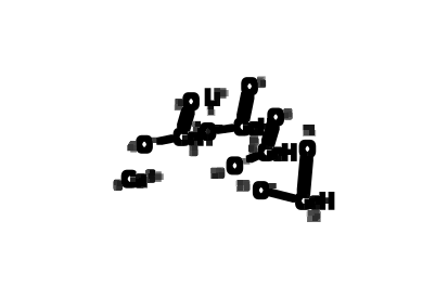 [Ga+3].[Li+].[O]=[GeH][O-].[O]=[GeH][O-].[O]=[GeH][O-].[O]=[GeH][O-]